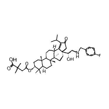 CC(C)C1=C2[C@H]3CCC4[C@@]5(C)CC[C@H](OC(=O)CC(C)(C)C(=O)O)C(C)(C)[C@@H]5CC[C@@]4(C)[C@]3(C)CC[C@@]2([C@@H](O)CNCc2ccc(F)cc2)CC1=O